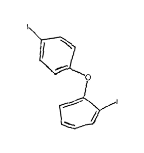 Ic1ccc(Oc2ccccc2I)cc1